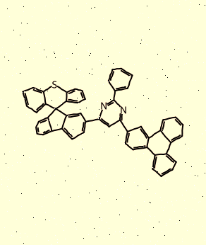 c1ccc(-c2nc(-c3ccc4c(c3)C3(c5ccccc5Sc5ccccc53)c3ccccc3-4)cc(-c3ccc4c5ccccc5c5ccccc5c4c3)n2)cc1